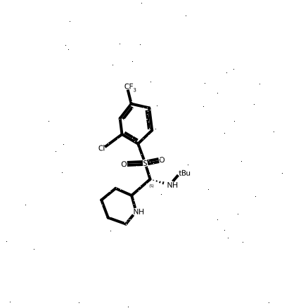 CC(C)(C)N[C@H](C1CCCCN1)S(=O)(=O)c1ccc(C(F)(F)F)cc1Cl